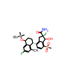 CC(C)(C)[Si](C)(C)OC1CC[C@H](c2ccc(S(C)(=O)=O)c3c2C[C@](F)(C(N)=O)[C@H]3O)c2c(C#N)cc(F)cc21